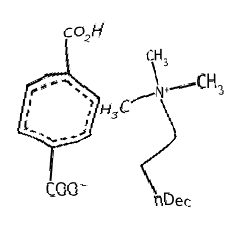 CCCCCCCCCCCC[N+](C)(C)C.O=C([O-])c1ccc(C(=O)O)cc1